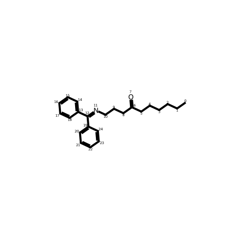 CCCCCCC(=O)CCCN=C(c1ccccc1)c1ccccc1